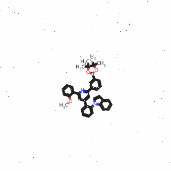 COc1ccccc1-c1cc(-c2ccccc2-n2ccc3ccccc32)cc(-c2cccc(B3OC(C)(C)C(C)(C)O3)c2)n1